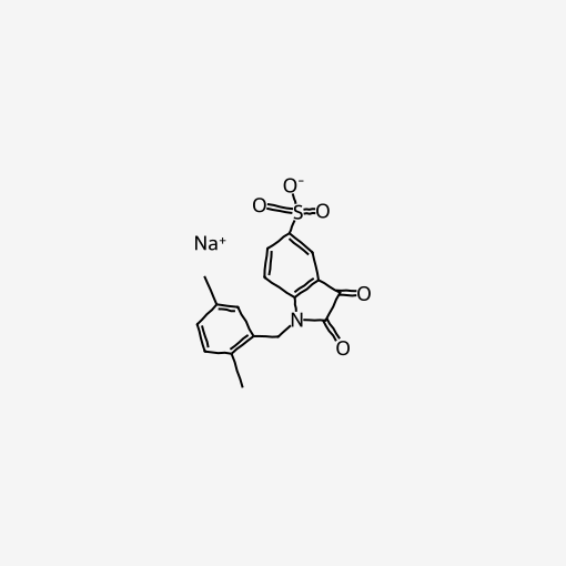 Cc1ccc(C)c(CN2C(=O)C(=O)c3cc(S(=O)(=O)[O-])ccc32)c1.[Na+]